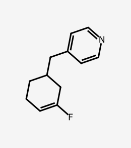 FC1=CCCC(Cc2ccncc2)C1